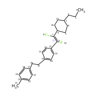 CCCC1CCC(/C(F)=C(\F)c2ccc(CCc3ccc(C)cc3)cc2)CC1